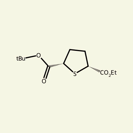 CCOC(=O)[C@H]1CC[C@@H](C(=O)OC(C)(C)C)S1